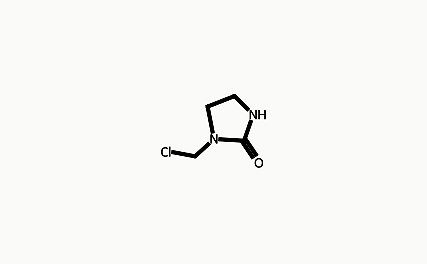 O=C1NCCN1CCl